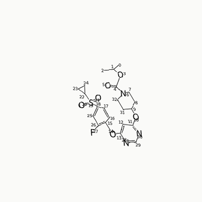 CC(C)OC(=O)N1CCC(Oc2cc(Oc3ccc(S(=O)(=O)C4CC4)cc3F)ncn2)CC1